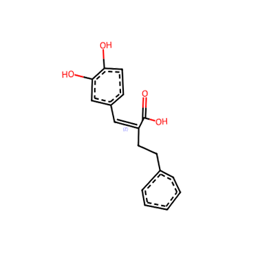 O=C(O)/C(=C\c1ccc(O)c(O)c1)CCc1ccccc1